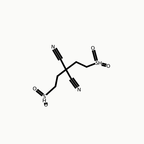 N#CC(C#N)(CC[SH](=O)=O)CC[SH](=O)=O